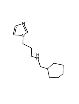 c1cn(CCCNCC2CCCCC2)cn1